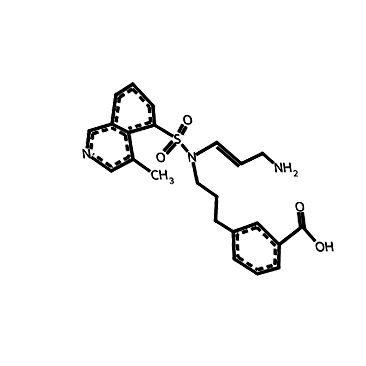 Cc1cncc2cccc(S(=O)(=O)N(C=CCN)CCCc3cccc(C(=O)O)c3)c12